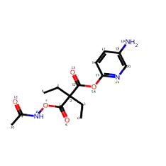 CCC(CC)(C(=O)ONC(C)=O)C(=O)Oc1ccc(N)cn1